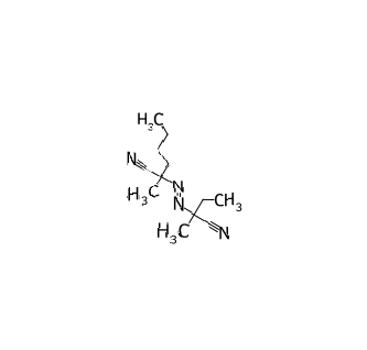 CCCCC(C)(C#N)N=NC(C)(C#N)CC